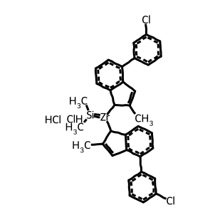 CC1=Cc2c(-c3cccc(Cl)c3)cccc2[CH]1[Zr]([CH]1C(C)=Cc2c(-c3cccc(Cl)c3)cccc21)=[Si](C)C.Cl.Cl